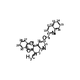 C[C@@H]1Cc2ncc(OCc3ccc4ccccc4n3)cc2C(=O)[C@H]1Oc1ccccc1